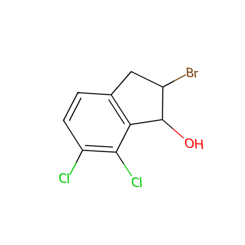 OC1c2c(ccc(Cl)c2Cl)CC1Br